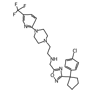 FC(F)(F)c1ccc(N2CCN(CCNCc3nc(C4(c5ccc(Cl)cc5)CCCC4)no3)CC2)nc1